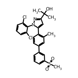 Cc1cc(-c2cccc(S(C)(=O)=O)c2)ccc1-c1cc(C(C)(C)O)nn1-c1c(Cl)cccc1Cl